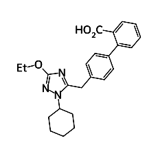 CCOc1nc(Cc2ccc(-c3ccccc3C(=O)O)cc2)n(C2CCCCC2)n1